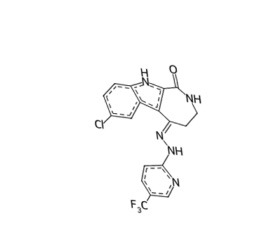 O=C1NCC/C(=N\Nc2ccc(C(F)(F)F)cn2)c2c1[nH]c1ccc(Cl)cc21